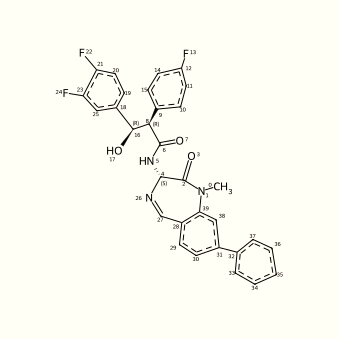 CN1C(=O)[C@@H](NC(=O)[C@H](c2ccc(F)cc2)[C@@H](O)c2ccc(F)c(F)c2)N=Cc2ccc(-c3ccccc3)cc21